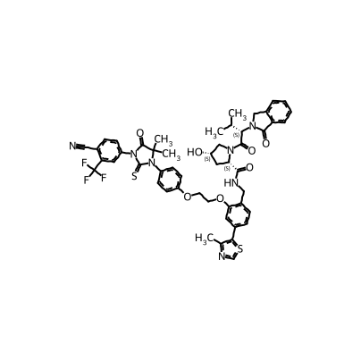 Cc1ncsc1-c1ccc(CNC(=O)[C@@H]2C[C@H](O)CN2C(=O)[C@H](C(C)C)N2Cc3ccccc3C2=O)c(OCCOc2ccc(N3C(=S)N(c4ccc(C#N)c(C(F)(F)F)c4)C(=O)C3(C)C)cc2)c1